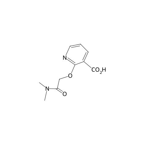 CN(C)C(=O)COc1ncccc1C(=O)O